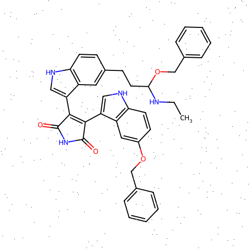 CCNC(CCc1ccc2[nH]cc(C3=C(c4c[nH]c5ccc(OCc6ccccc6)cc45)C(=O)NC3=O)c2c1)OCc1ccccc1